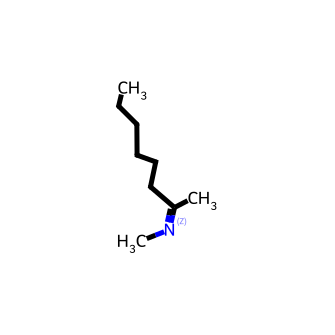 CCCCCC/C(C)=N\C